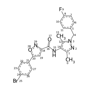 Cc1nn(Cc2ccc(F)cc2)c(C)c1NC(=O)c1cc(-c2ccc(Br)cc2)on1